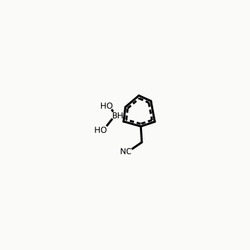 N#CCc1ccccc1.OBO